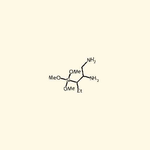 CCC(C(N)CN)[Si](OC)(OC)OC